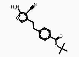 CC(C)(C)OC(=O)c1ccc(CCc2coc(N)c2C#N)cc1